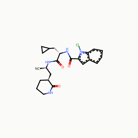 N#C[C@H](C[C@@H]1CCCNC1=O)NC(=O)[C@H](CC1CC1)NC(=O)c1cc2ccccc2n1Cl